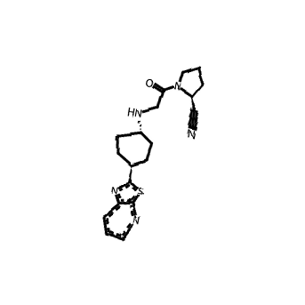 N#C[C@@H]1CCCN1C(=O)CN[C@H]1CC[C@H](c2nc3cccnc3s2)CC1